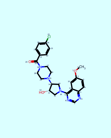 COc1ccc2ncnc(N3C[C@H](O)[C@@H](N4CCN(C(=O)c5ccc(Cl)cc5)CC4)C3)c2c1